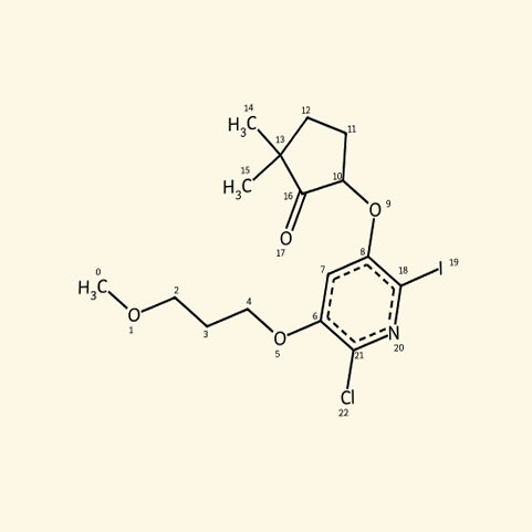 COCCCOc1cc(OC2CCC(C)(C)C2=O)c(I)nc1Cl